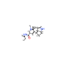 CC[C@@H](C)NC(=O)C1C=C2c3cccc4[nH]cc(c34)C[C@H]2N(C)C1